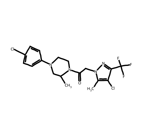 Cc1c(Cl)c(C(F)(F)F)nn1CC(=O)N1CCN(c2ccc(Cl)cc2)CC1C